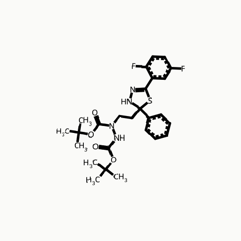 CC(C)(C)OC(=O)NN(CCC1(c2ccccc2)NN=C(c2cc(F)ccc2F)S1)C(=O)OC(C)(C)C